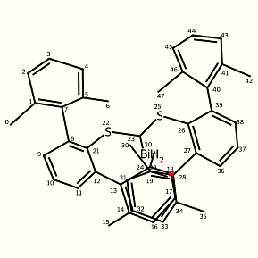 Cc1cccc(C)c1-c1cccc(-c2c(C)cccc2C)c1S[CH]([BiH2])Sc1c(-c2c(C)cccc2C)cccc1-c1c(C)cccc1C